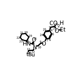 CCOC(Cc1ccc(OCCN(CCC(C)(C)C)C(=O)NC2CCCCC2)cc1)C(=O)O